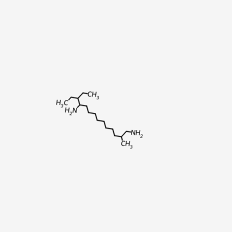 CCC(CC)C(N)CCCCCCCCC(C)CN